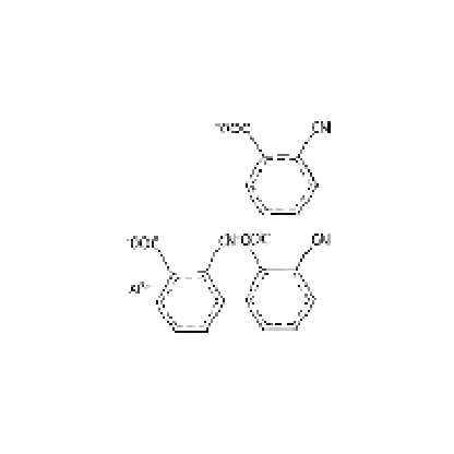 N#Cc1ccccc1C(=O)[O-].N#Cc1ccccc1C(=O)[O-].N#Cc1ccccc1C(=O)[O-].[Al+3]